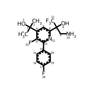 CC(C)(O)c1cc(C(O)(CN)C(F)(F)F)nc(-c2ccc(F)cc2)c1F